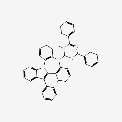 CC1CC=CC2=C1c1c(-c3ccccc3)c3cccnc3n1C1=C(CCC=C1)N2C1NC(C2=CC=CCC2)N=C(C2=CC=CCC2)N1C